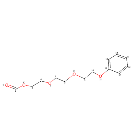 O=[C]OCCOCCOCCOc1ccccc1